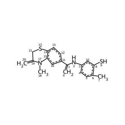 C=C(Nc1ccc(C)c(S)c1)c1ccc2c(c1)N(C)C(=C)CS2